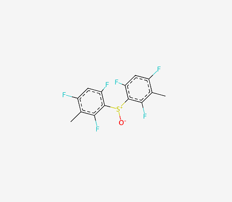 Cc1c(F)cc(F)c([S+]([O-])c2c(F)cc(F)c(C)c2F)c1F